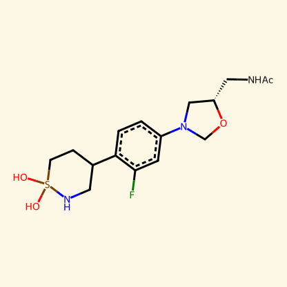 CC(=O)NC[C@H]1CN(c2ccc(C3CCS(O)(O)NC3)c(F)c2)CO1